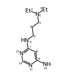 CCN(CC)CCCNc1cc([NH])ncn1